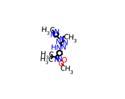 CCOC(=O)n1nc(C(C)C)c2c1CCC(Nc1ncnc3c1nc(-c1cnc(C)nc1)n3CC)C2